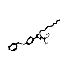 CCCCCCCCn1cc(-c2ccc(OCc3ccccc3)cc2)cc1C(=O)O